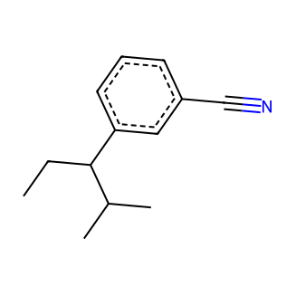 CCC(c1cccc(C#N)c1)C(C)C